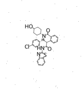 O=C(Nc1nc2ccccc2s1)C1c2ccccc2C(=O)N([C@H]2CC[C@H](O)CC2)[C@H]1c1ccc(Cl)cc1